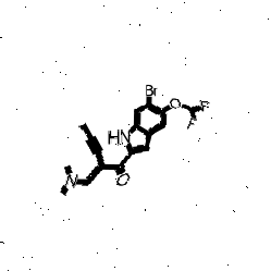 CC#C/C(=C\N(C)C)C(=O)c1cc2cc(OC(F)F)c(Br)cc2[nH]1